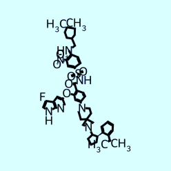 CC(C)c1ccccc1[C@H]1CCCC1N1CC2(CCN(c3ccc(C(=O)NS(=O)(=O)c4ccc(NCC5CCC(C)(C)CC5)c([N+](=O)[O-])c4)c(Oc4cnc5[nH]cc(F)c5c4)c3)CC2)C1